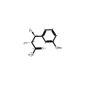 CC[C@@H](c1cccc(OC)c1)[C@@H](C)C(N)=O